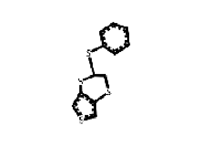 c1ccc(SC2CSc3cscc3S2)cc1